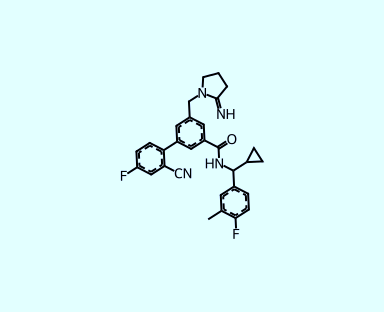 Cc1cc(C(NC(=O)c2cc(CN3CCCC3=N)cc(-c3ccc(F)cc3C#N)c2)C2CC2)ccc1F